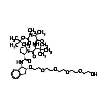 C[C@@H](C(=O)N[C@H](C(=O)N1CCC[C@H]1C(=O)N[C@H]1c2ccccc2C[C@H]1OCCOCCOCCOCCOCCO)C(C)(C)C)N(C)C(=O)OC(C)(C)C